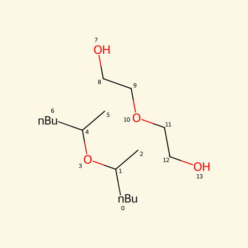 CCCCC(C)OC(C)CCCC.OCCOCCO